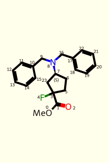 COC(=O)C1(F)CC[C@H](N(Cc2ccccc2)Cc2ccccc2)C1